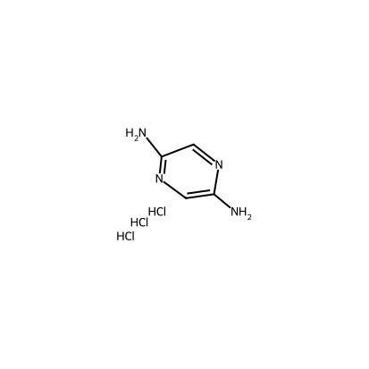 Cl.Cl.Cl.Nc1cnc(N)cn1